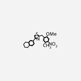 COc1cc([N+](=O)[O-])c(C)cc1Cc1nc(-c2ccc3c(c2)CCCC3)cs1